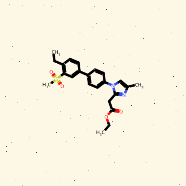 CCOC(=O)Cc1nc(C)cn1-c1ccc(-c2ccc(CC)c(S(C)(=O)=O)c2)cc1